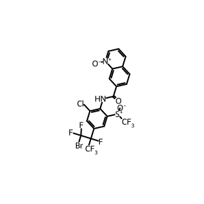 O=C(Nc1c(Cl)cc(C(F)(C(F)(F)F)C(F)(F)Br)cc1[S+]([O-])C(F)(F)F)c1ccc2ccc[n+]([O-])c2c1